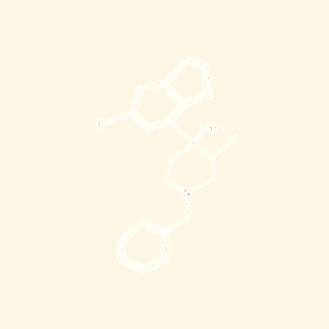 CC1CN(Cc2ccccc2)CCC1(O)c1cc(F)cc2ccsc12